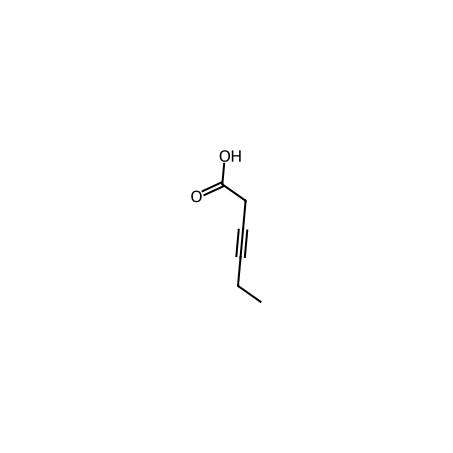 CCC#CCC(=O)O